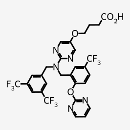 O=C(O)CCCOc1cnc(N(Cc2cc(C(F)(F)F)cc(C(F)(F)F)c2)Cc2cc(C(F)(F)F)ccc2Oc2ncccn2)nc1